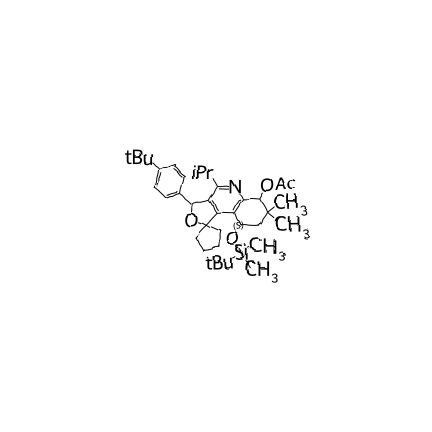 CC(=O)OC1c2nc(C(C)C)c3c(c2[C@@H](O[Si](C)(C)C(C)(C)C)CC1(C)C)C1(CCCC1)OC3c1ccc(C(C)(C)C)cc1